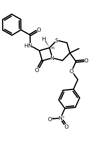 CC1(C(=O)OCc2ccc([N+](=O)[O-])cc2)CS[C@@H]2C(NC(=O)c3ccccc3)C(=O)N2C1